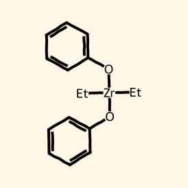 C[CH2][Zr]([CH2]C)([O]c1ccccc1)[O]c1ccccc1